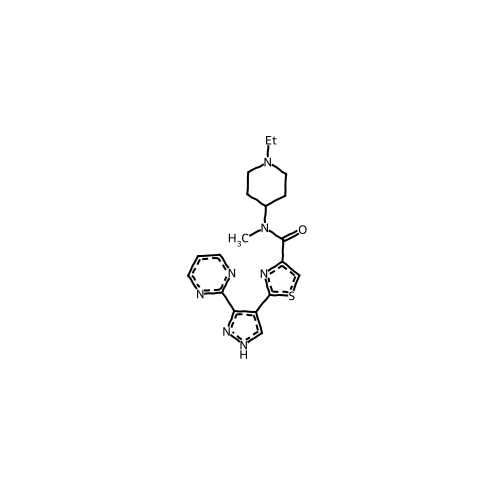 CCN1CCC(N(C)C(=O)c2csc(-c3c[nH]nc3-c3ncccn3)n2)CC1